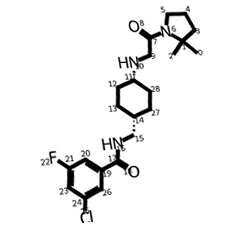 CC1(C)CCCN1C(=O)CN[C@H]1CC[C@@H](CNC(=O)c2cc(F)cc(Cl)c2)CC1